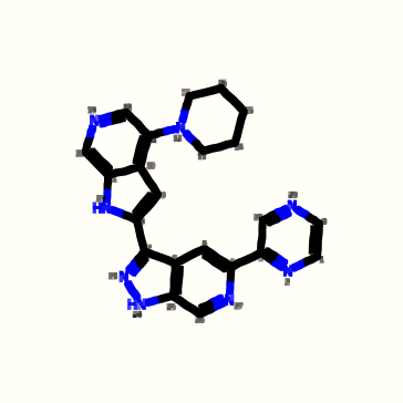 c1cnc(-c2cc3c(-c4cc5c(N6CCCCC6)cncc5[nH]4)n[nH]c3cn2)cn1